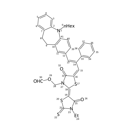 CCCCCCN1c2ccccc2CCc2cc(/C=C(/C=c3/s/c(=C4/SC(=S)N(CC)C4=O)n(COC=O)c3=O)c3ccccc3)ccc21